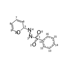 O=S(=O)(N=NC1C=CC=CO1)c1ccccc1